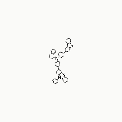 c1ccc(N2c3ccccc3Sc3cc(-c4ccc(N(c5ccc(-c6ccc7sc8ccccc8c7c6)cc5)c5cccc6ccccc56)cc4)ccc32)cc1